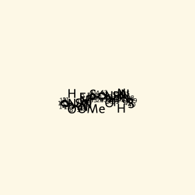 CCn1c(SC(COC)C(=O)Nc2ccccc2)nnc1-c1csc(-c2ccc(NC(=O)C(F)Sc3nnc(-c4ccsc4)[nH]3)cc2)c1